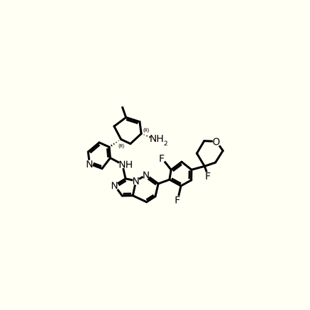 CC1=C[C@H](N)C[C@H](c2ccncc2Nc2ncc3ccc(-c4c(F)cc(C5(F)CCOCC5)cc4F)nn23)C1